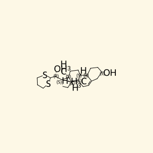 C[C@]12CC[C@H]3[C@@H](CC=C4C[C@@H](O)CC[C@@]43C)[C@@H]1CC[C@@H]2[C@@H](O)C1SCCCS1